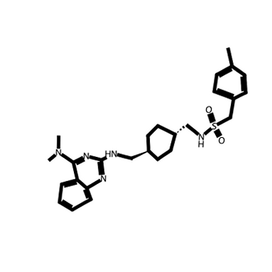 Cc1ccc(CS(=O)(=O)NC[C@H]2CC[C@H](CNc3nc(N(C)C)c4ccccc4n3)CC2)cc1